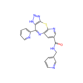 O=C(NCc1cccnc1)c1cnc2c(c1)N=C(c1ccccn1)c1[nH]nnc1S2